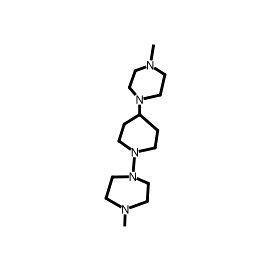 CN1CCN(C2CCN(N3CCN(C)CC3)CC2)CC1